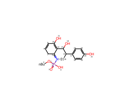 CCCCOP(=O)(O)N=C1CC=CC(O)=C1C(O)C(CC)c1ccc(O)cc1